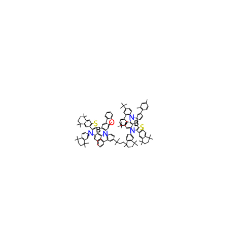 Cc1ccc(-c2ccc3c(c2)N(c2ccc(C(C)(C)C)cc2-c2ccccc2)c2cc(C(C)(C)C)cc4c2B3c2sc3cc5c(cc3c2N4c2ccc3c(c2)C(C)(C)CCC3(C)CCC(C)(C)c2ccc(N3c4cc6oc7ccccc7c6cc4B4c6sc7cc8c(cc7c6N(c6ccc7c(c6)C(C)(C)CCC7(C)C)c6cc(C)cc3c64)C(C)(C)CCC8(C)C)c(-c3ccccc3)c2)C(C)(C)CCC5(C)C)c(C)c1